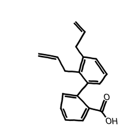 C=CCc1cccc(-c2ccccc2C(=O)O)c1CC=C